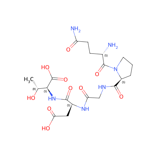 C[C@@H](O)[C@H](NC(=O)[C@H](CC(=O)O)NC(=O)CNC(=O)[C@@H]1CCCN1C(=O)[C@@H](N)CCC(N)=O)C(=O)O